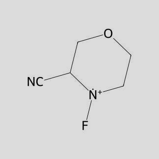 N#CC1COCC[N+]1F